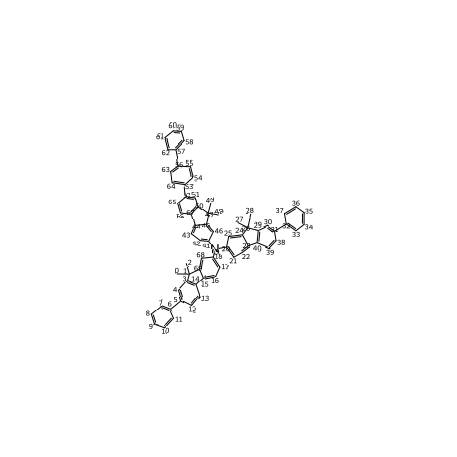 CC1(C)c2cc(-c3ccccc3)ccc2-c2ccc(N(c3ccc4c(c3)C(C)(C)c3cc(-c5ccccc5)ccc3-4)c3ccc4c(c3)C(C)(C)c3cc(-c5ccc(-c6ccccc6)cc5)ccc3-4)cc21